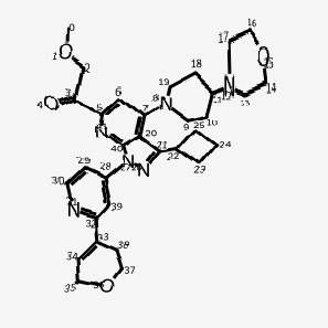 COCC(=O)c1cc(N2CCC(N3CCOCC3)CC2)c2c(C3CCC3)nn(-c3ccnc(C4=CCOCC4)c3)c2n1